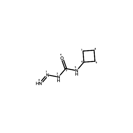 N=NNC(=O)NC1CCC1